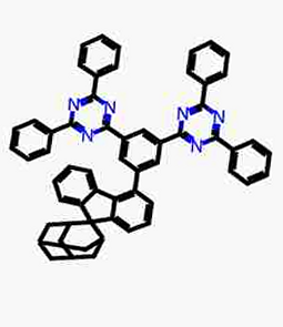 c1ccc(-c2nc(-c3ccccc3)nc(-c3cc(-c4nc(-c5ccccc5)nc(-c5ccccc5)n4)cc(-c4cccc5c4-c4ccccc4C54C5CC6CC(C5)CC4C6)c3)n2)cc1